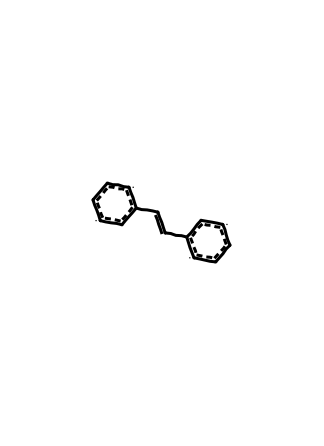 [c]1cc[c]c(/C=C/c2[c]cc[c]c2)c1